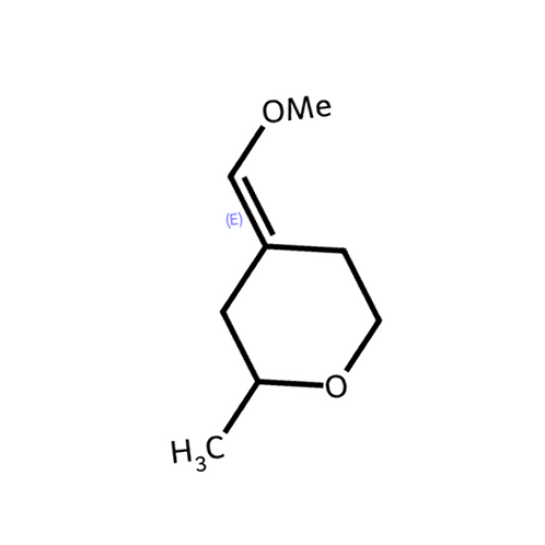 CO/C=C1\CCOC(C)C1